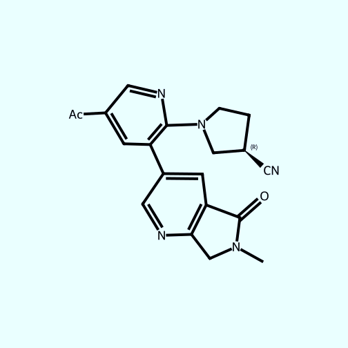 CC(=O)c1cnc(N2CC[C@@H](C#N)C2)c(-c2cnc3c(c2)C(=O)N(C)C3)c1